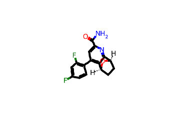 NC(=O)c1cc(-c2ccc(F)cc2F)c2c(n1)[C@H]1CC[C@@H]2O1